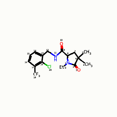 CCN1C(=O)C(C)(C)CC1C(=O)NCc1cccc(C(F)(F)F)c1Cl